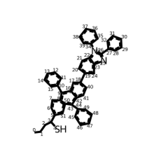 CCCC(S)c1ccc2c(-c3ccccc3)c3cc(-c4ccc5c(c4)nc(-c4ccccc4)n5-c4ccccc4)ccc3c(-c3ccccc3)c2c1